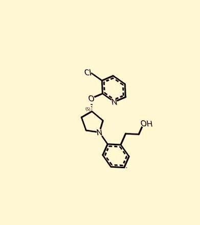 OCCc1c[c]ccc1N1CC[C@H](Oc2ncccc2Cl)C1